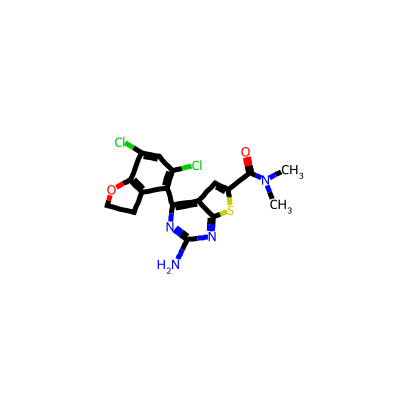 CN(C)C(=O)c1cc2c(-c3c(Cl)cc(Cl)c4c3CCO4)nc(N)nc2s1